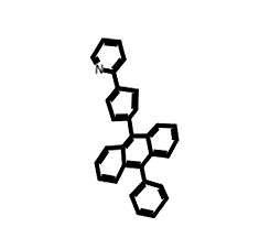 c1ccc(-c2c3ccccc3c(-c3ccc(-c4ccccn4)cc3)c3ccccc23)cc1